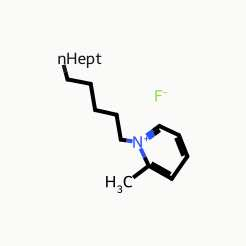 CCCCCCCCCCCC[n+]1ccccc1C.[F-]